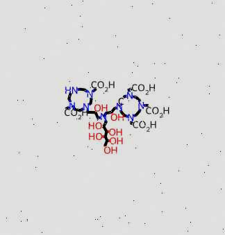 O=C(O)CN1CCNCCN(CC(=O)O)CCN(CC(O)CN(CC(O)CN2CCN(CC(=O)O)CCN(CC(=O)O)CCN(CC(=O)O)CC2)CC(O)C(O)C(O)C(O)CO)CC1